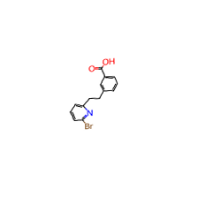 O=C(O)c1cccc(CCc2cccc(Br)n2)c1